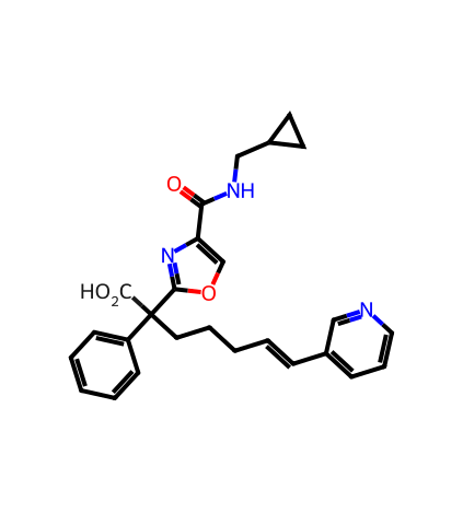 O=C(NCC1CC1)c1coc(C(CCCC=Cc2cccnc2)(C(=O)O)c2ccccc2)n1